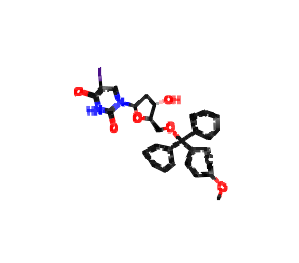 COc1ccc(C(OC[C@H]2O[C@@H](n3cc(I)c(=O)[nH]c3=O)C[C@@H]2O)(c2ccccc2)c2ccccc2)cc1